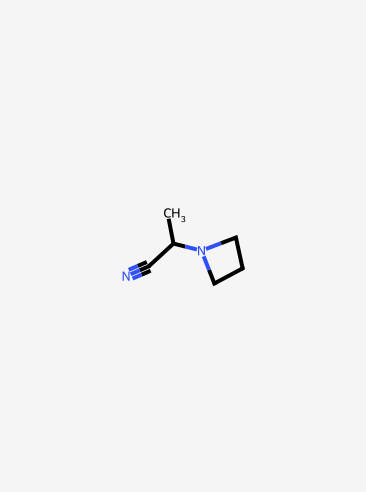 CC(C#N)N1CCC1